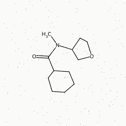 CN(C(=O)C1CC[CH]CC1)C1CCOC1